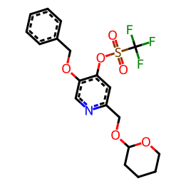 O=S(=O)(Oc1cc(COC2CCCCO2)ncc1OCc1ccccc1)C(F)(F)F